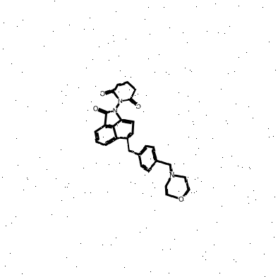 O=C1CCCC(=O)N1N1C(=O)c2cccc3c(Cc4ccc(CN5CCOCC5)cc4)ccc1c23